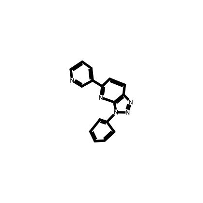 c1ccc(-n2nnc3ccc(-c4cccnc4)nc32)cc1